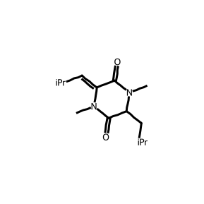 CC(C)/C=C1/C(=O)N(C)C(CC(C)C)C(=O)N1C